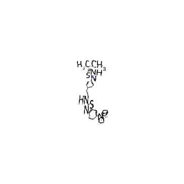 CC(C)[C@H]1CS/C(=N\c2ccc(CCNc3nc4ccc([N+](=O)[O-])cc4s3)cc2)N1